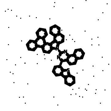 c1ccc2c(c1)ccc1c(-c3cccc4c3sc3ccccc34)nc(-n3c4ccc5ccccc5c4c4c5c6ccccc6c6ccccc6c5ccc43)nc12